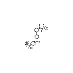 CCC1(C(=O)Nc2cccc(-c3ccc(C(=O)N4CCN(C(O)C5(O)CC5)CC4)cc3)c2)COC1